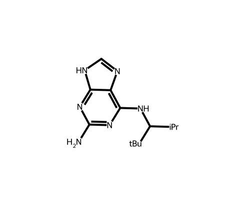 CC(C)C(Nc1nc(N)nc2[nH]cnc12)C(C)(C)C